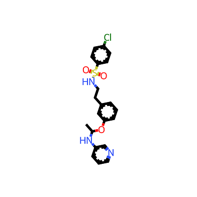 CC(Nc1cccnc1)Oc1cccc(CCNS(=O)(=O)c2ccc(Cl)cc2)c1